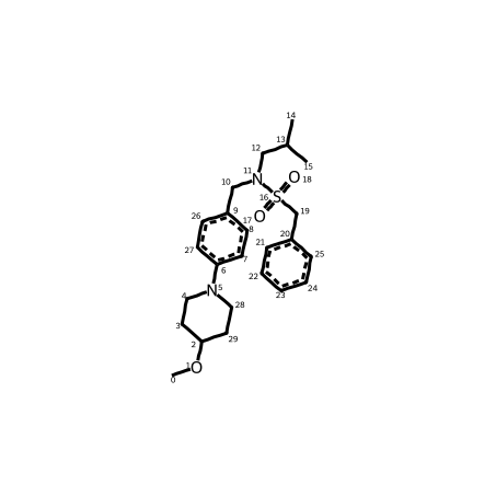 COC1CCN(c2ccc(CN(CC(C)C)S(=O)(=O)Cc3ccccc3)cc2)CC1